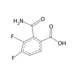 NC(=O)c1c(C(=O)O)ccc(F)c1F